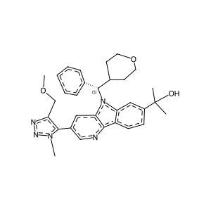 COCc1nnn(C)c1-c1cnc2c3ccc(C(C)(C)O)cc3n([C@H](c3ccccc3)C3CCOCC3)c2c1